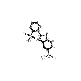 CCS(=O)(=O)c1cccnc1-c1nc2cc([S+]([O-])C(F)(F)F)ccc2o1